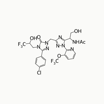 CC(=O)NC(CO)c1nc(Cn2nc(-c3ccc(Cl)cc3)n(CC(O)C(F)(F)F)c2=O)nn1-c1ncccc1OC(F)(F)F